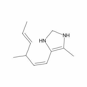 C/C=C/C(C)/C=C\C1=C(C)NCN1